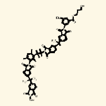 Cc1cc(C)c(C(C)(C)C(C)(C)N2C(=O)c3ccc(C(C)(c4ccc5c(c4)C(=O)N(c4cc(C(=O)OCCCO)cc(C(C)(C)C)c4)C5=O)C(F)(F)F)cc3C2=O)c(C)c1N1C(=O)c2ccc(C(c3ccc4c(c3)C(=O)N(C(C)(C)C)C4=O)(C(F)(F)F)C(F)(F)F)cc2C1=O